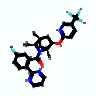 C[C@@H]1[C@H]2C[C@@H](Oc3ccc(C(F)(F)F)cn3)[C@H](C2)N1C(=O)c1cc(F)ccc1-c1ncccn1